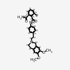 COc1cc2c(cc1OC)CN(CCc1ccc(NC(=O)c3c(F)cccc3C(N)=O)cc1)CC2